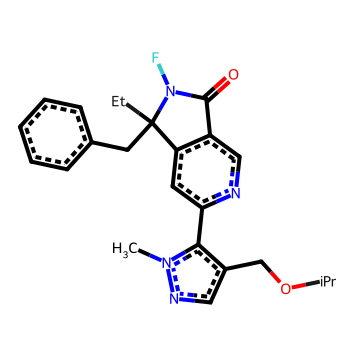 CCC1(Cc2ccccc2)c2cc(-c3c(COC(C)C)cnn3C)ncc2C(=O)N1F